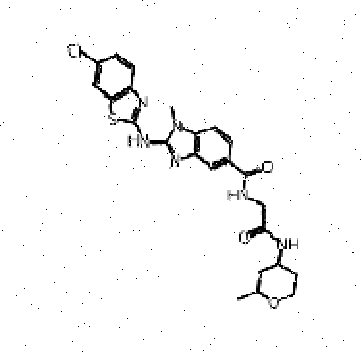 CC1CC(NC(=O)CNC(=O)c2ccc3c(c2)nc(Nc2nc4ccc(Cl)cc4s2)n3C)CCO1